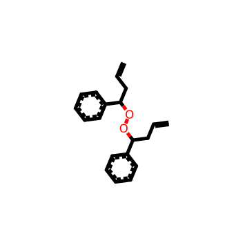 C=CCC(OOC(CC=C)c1ccccc1)c1ccccc1